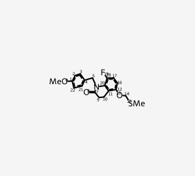 COc1ccc(CN2C(=O)CCc3c(OCSC)ccc(F)c32)cc1